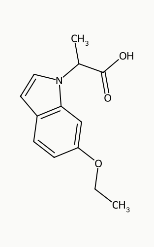 CCOc1ccc2ccn(C(C)C(=O)O)c2c1